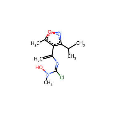 C=C(/N=C(/Cl)N(C)O)c1c(C(C)C)noc1C